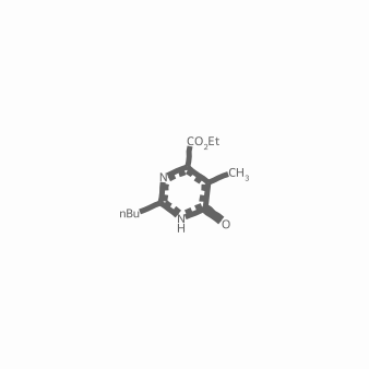 CCCCc1nc(C(=O)OCC)c(C)c(=O)[nH]1